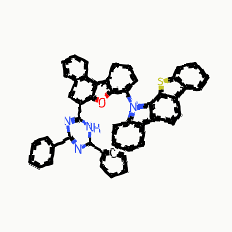 c1ccc(C2=NC(c3ccccc3)NC(c3cc4ccccc4c4c3oc3c(-n5c6ccccc6c6ccc7c8ccccc8sc7c65)cccc34)=N2)cc1